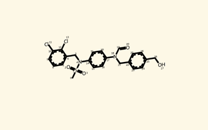 CS(=O)(=O)N(Cc1cccc(Cl)c1Cl)c1ccc(N(C=O)Cc2ccc(CO)cc2)cc1